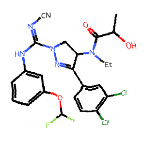 CCN(C(=O)C(C)O)C1CN(C(=NC#N)Nc2cccc(OC(F)F)c2)N=C1c1ccc(Cl)c(Cl)c1